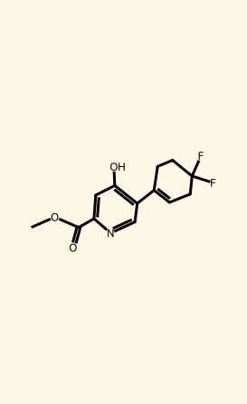 COC(=O)c1cc(O)c(C2=CCC(F)(F)CC2)cn1